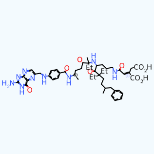 CCC(CC)(CCC(C)Cc1ccccc1)C(=O)C(CCCNC(=O)/C=C(\CC(=O)O)C(=O)O)NC(C)(CC)C(=O)CC[C@@H](C)NC(=O)c1ccc(NCc2cnc3nc(N)[nH]c(=O)c3n2)cc1